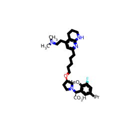 COc1c(F)cc(C(C)C)cc1[C@H](C(=O)O)N1CC[C@@H](OCCCCCc2cc(CCN(C)C)c3c(n2)NCCC3)C1